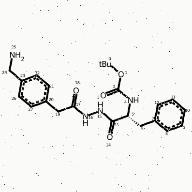 CC(C)(C)OC(=O)N[C@H](Cc1ccccc1)C(=O)NNC(=O)Cc1ccc(CN)cc1